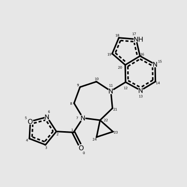 O=C(c1ccon1)N1CCCN(c2ncnc3[nH]ccc23)CC12CC2